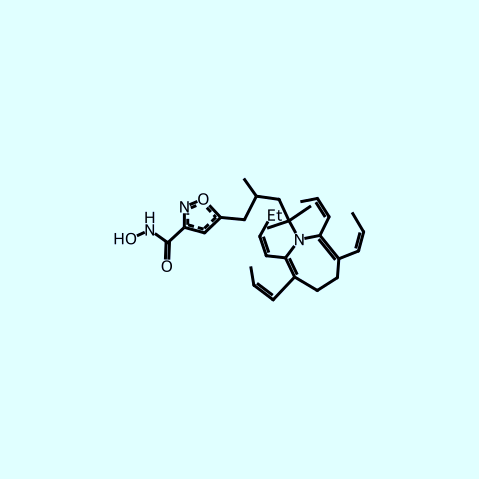 C/C=C\C1=C(/C=C\C)N(C(C)(C)CC(C)Cc2cc(C(=O)NO)no2)C(/C=C\CC)=C(/C=C\C)CC1